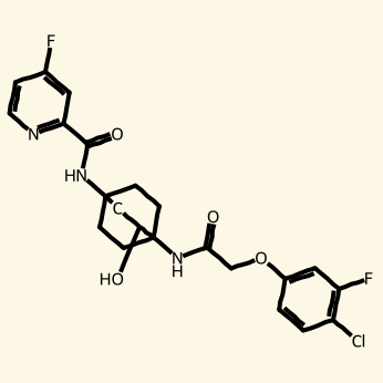 O=C(COc1ccc(Cl)c(F)c1)NC12CCC(NC(=O)c3cc(F)ccn3)(CC1)CC2O